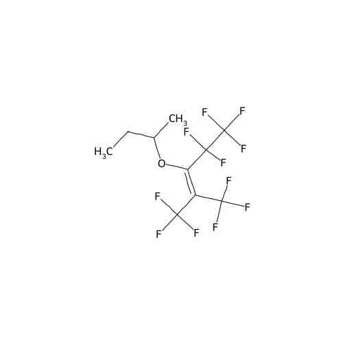 CCC(C)OC(=C(C(F)(F)F)C(F)(F)F)C(F)(F)C(F)(F)F